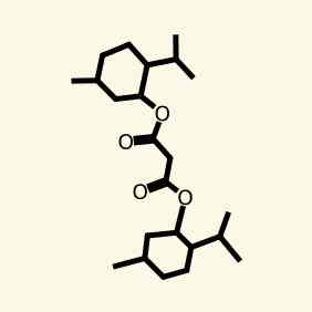 CC1CCC(C(C)C)C(OC(=O)CC(=O)OC2CC(C)CCC2C(C)C)C1